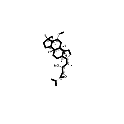 CO[C@@H]1C[C@H]2[C@@H]3CC[C@H]([C@H](C)[C@@H](O)[C@@H]4O[C@@H]4C(C)C)[C@@]3(C)CC[C@@H]2[C@@]2(C)CC[C@H]3C[C@]312